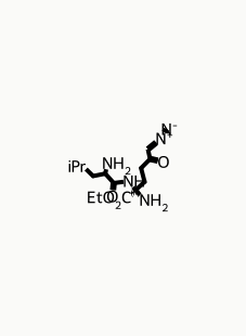 CCOC(=O)[C@@](N)(CCC(=O)C=[N+]=[N-])NC(=O)C(N)CC(C)C